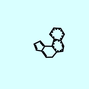 [C]1=CC=C2C1=CCc1ccc3ccccc3c12